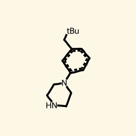 CC(C)(C)Cc1cccc(N2CCNCC2)c1